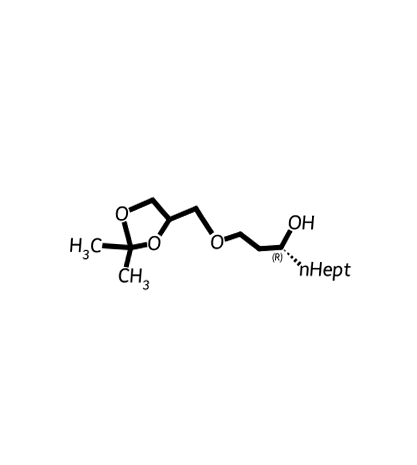 CCCCCCC[C@@H](O)CCOCC1COC(C)(C)O1